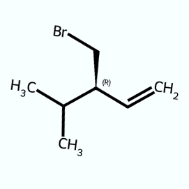 C=C[C@H](CBr)C(C)C